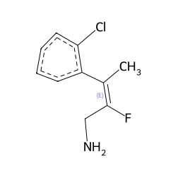 C/C(=C(\F)CN)c1ccccc1Cl